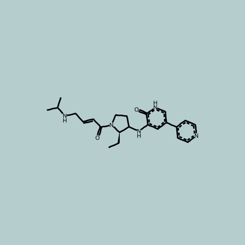 CC[C@@H]1C(Nc2cc(-c3ccncc3)c[nH]c2=O)CCN1C(=O)/C=C/CNC(C)C